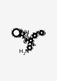 Cc1c(C(=O)NCC2C(=O)NC(C)C3(CCCCCCCCCC3)C2C)cc(-c2ccc(CN3CCOCC3)cc2)cc1N(C)[C@H]1CC[C@H](N)CC1